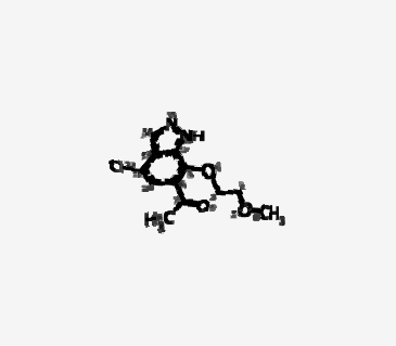 COCCOc1c(C(C)=O)cc(Cl)c2cn[nH]c12